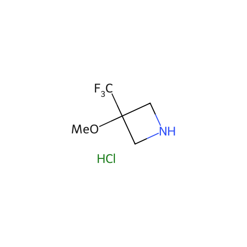 COC1(C(F)(F)F)CNC1.Cl